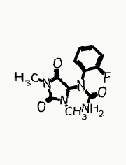 CN1C(=O)C(N(C(N)=O)c2ccccc2F)N(C)C1=O